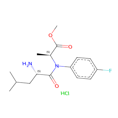 COC(=O)[C@H](C)N(C(=O)[C@@H](N)CC(C)C)c1ccc(F)cc1.Cl